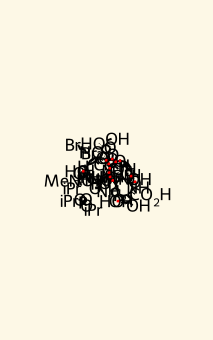 BrCCBr.CC(C)OP(C)(=O)OC(C)C.CN[C@H](CC(C)C)C(=O)N[C@H]1C(=O)N[C@@H](CC(N)=O)C(=O)N[C@H]2C(=O)N[C@H]3C(=O)N[C@H](C(=O)N[C@@H](C(=O)O)c4cc(O)cc(O)c4-c4cc3ccc4O)[C@H](O)c3ccc(c(Cl)c3)Oc3cc2cc(c3O[C@@H]2O[C@H](CO)[C@@H](O)[C@H](O)[C@H]2O[C@H]2C[C@](C)(N)C(O)[C@H](C)O2)Oc2ccc(cc2Cl)[C@H]1O